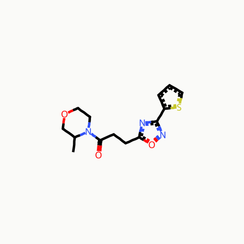 CC1COCCN1C(=O)CCc1nc(-c2cccs2)no1